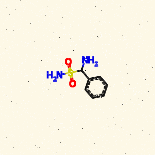 NC(c1ccccc1)S(N)(=O)=O